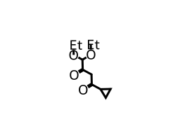 CCOC(OCC)C(=O)CC(=O)C1CC1